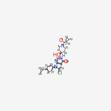 CC1(C(=O)N2CCC(O)(Cn3cnc4c(cc(Cl)n4-c4ccc(C5CC5)cc4)c3=O)CC2)CC1